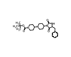 CC(C)(C)OC(=O)N1CCC(N2CCC(N3C(=O)NC(Cc4ccccc4)C3=O)CC2)CC1